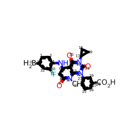 Bc1ccc(Nc2cc(=O)n(C)c3c2c(=O)n(C2CC2)c(=O)n3-c2cccc(C(=O)O)c2)c(F)c1